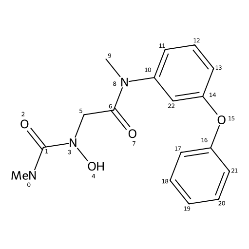 CNC(=O)N(O)CC(=O)N(C)c1cccc(Oc2ccccc2)c1